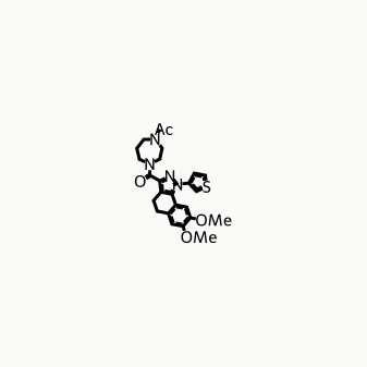 COc1cc2c(cc1OC)-c1c(c(C(=O)N3CCCN(C(C)=O)CC3)nn1-c1ccsc1)CC2